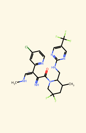 CN/C=C(\C(=N)C(=O)N1CC(F)(F)CC(C)C1CNc1ncc(C(F)(F)F)cn1)c1cc(Cl)ccn1